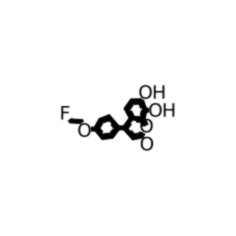 O=c1cc(-c2ccc(OCCF)cc2)c2ccc(O)c(O)c2o1